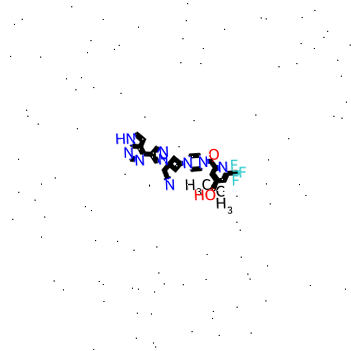 CC(C)(O)c1cc(C(=O)N2CCN(C3CC(CC#N)(n4cc(-c5ncnc6[nH]ccc56)cn4)C3)CC2)nc(C(F)(F)F)c1